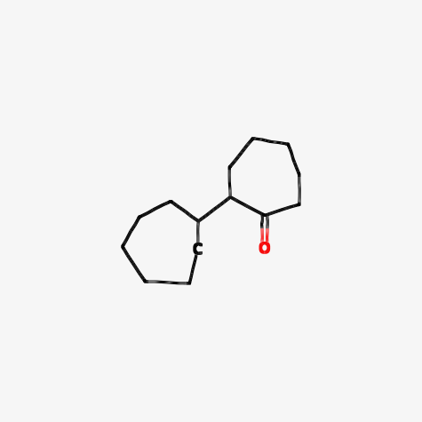 O=C1CCCCCC1C1CCCCCC1